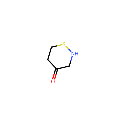 O=C1CCSNC1